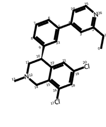 CCc1cc(-c2cccc([C@@H]3CN(C)Cc4c(Cl)cc(Cl)cc43)c2)ccn1